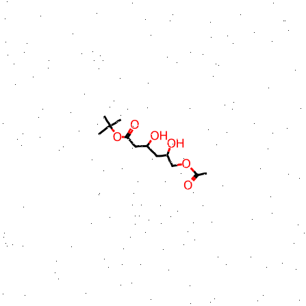 CC(=O)OCC(O)CC(O)CC(=O)OC(C)(C)C